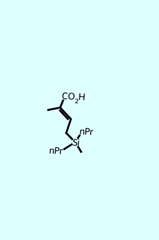 CCC[Si](C)(CC=C(C)C(=O)O)CCC